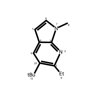 CCc1nc2c(ccn2C)cc1C(C)(C)C